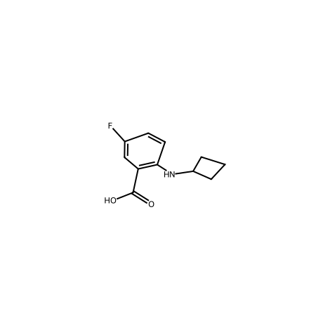 O=C(O)c1cc(F)ccc1NC1CCC1